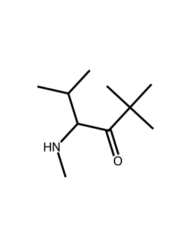 CNC(C(=O)C(C)(C)C)C(C)C